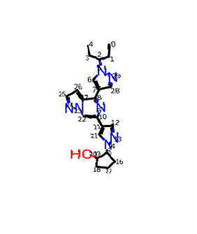 CCC(CC)n1cc(-c2nc(-c3cnn(C4CCCC4O)c3)cn3nccc23)cn1